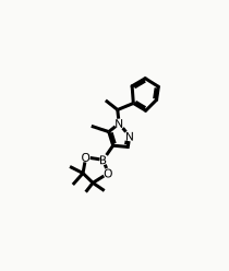 Cc1c(B2OC(C)(C)C(C)(C)O2)cnn1C(C)c1ccccc1